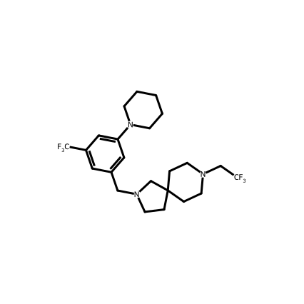 FC(F)(F)CN1CCC2(CC1)CCN(Cc1cc(N3CCCCC3)cc(C(F)(F)F)c1)C2